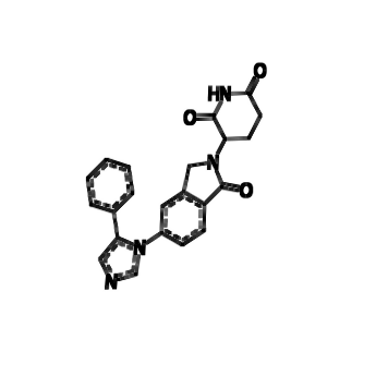 O=C1CCC(N2Cc3cc(-n4cncc4-c4ccccc4)ccc3C2=O)C(=O)N1